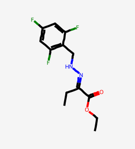 CCOC(=O)/C(CC)=N/NCc1c(F)cc(F)cc1F